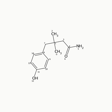 CC(C)(CC(N)=O)Cc1ccc(O)cc1